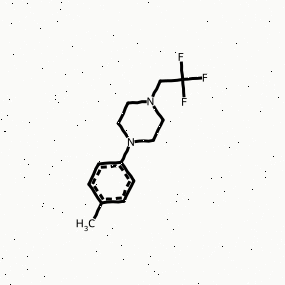 Cc1ccc(N2CCN(CC(F)(F)F)CC2)cc1